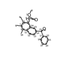 CO[PH](=O)c1c(C)c(C)c(C)c2ccc(C(=O)c3ccccc3)cc12